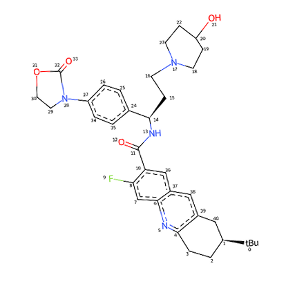 CC(C)(C)[C@H]1CCc2nc3cc(F)c(C(=O)N[C@H](CCN4CCC(O)CC4)c4ccc(N5CCOC5=O)cc4)cc3cc2C1